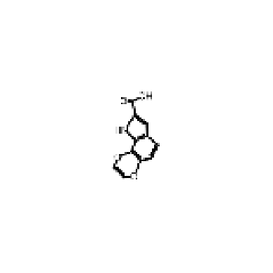 O=C(O)c1cc2ccc3c(c2[nH]1)OC=CO3